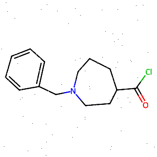 O=C(Cl)C1CCCN(Cc2ccccc2)CC1